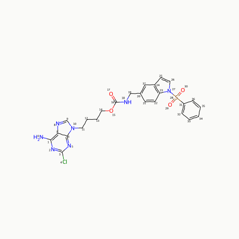 Nc1nc(Cl)nc2c1ncn2CCCCOC(=O)NCc1ccc2c(ccn2S(=O)(=O)c2ccccc2)c1